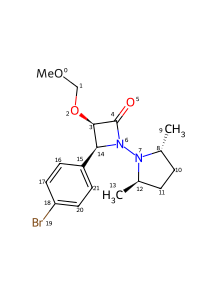 COCO[C@H]1C(=O)N(N2[C@H](C)CC[C@H]2C)[C@H]1c1ccc(Br)cc1